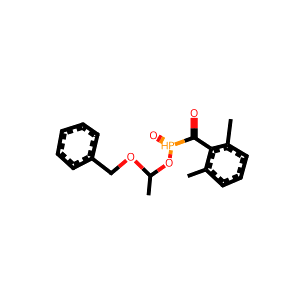 Cc1cccc(C)c1C(=O)[PH](=O)OC(C)OCc1ccccc1